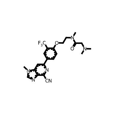 CN(C)CC(=O)N(C)CCOc1ccc(-c2cc3c(ncn3C)c(C#N)n2)cc1C(F)(F)F